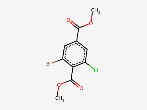 COC(=O)c1cc(Cl)c(C(=O)OC)c(Br)c1